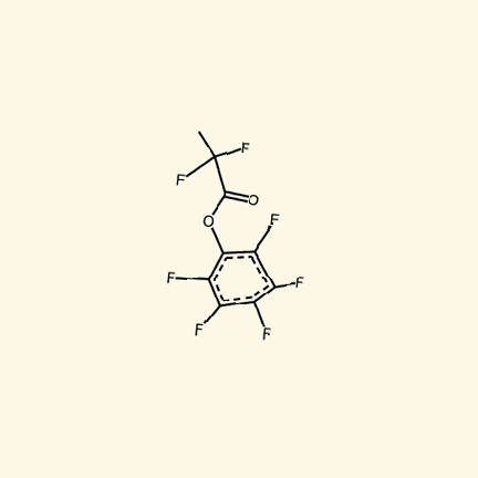 CC(F)(F)C(=O)Oc1c(F)c(F)c(F)c(F)c1F